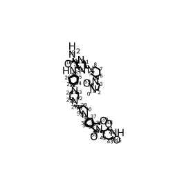 CN1CCN([C@@H]2CCCN(c3cnc(C(N)=O)c(Nc4ccc(N5CCN(C[C@H]6CCN(c7ccc8c(c7)C(=O)N(C7CCC(=O)NC7=O)C8=O)C6)CC5)cc4)n3)C2)C1=O